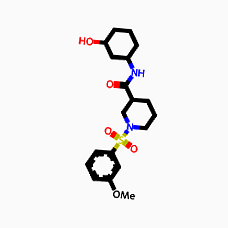 COc1cccc(S(=O)(=O)N2CCCC(C(=O)NC3CCCC(O)C3)C2)c1